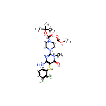 COC(=O)[C@@H]1CN(c2nc(N)c(Sc3cccc(Cl)c3Cl)c(=O)n2C)CCN1C(=O)OC(C)(C)C